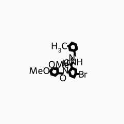 COc1ccc(C(=O)Nc2ccc(Br)cc2C(=O)NN=Cc2cccc(C)c2)cc1OC